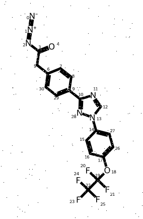 [N-]=[N+]=NC(=O)Cc1ccc(-c2ncn(-c3ccc(OC(F)(F)C(F)(F)F)cc3)n2)cc1